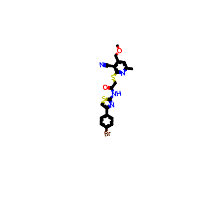 COCc1cc(C)nc(SCC(=O)Nc2nc(-c3ccc(Br)cc3)cs2)c1C#N